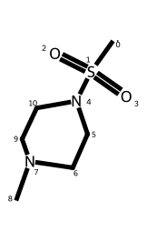 [CH2]S(=O)(=O)N1CCN(C)CC1